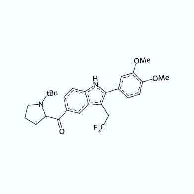 COc1ccc(-c2[nH]c3ccc(C(=O)C4CCCN4C(C)(C)C)cc3c2CC(F)(F)F)cc1OC